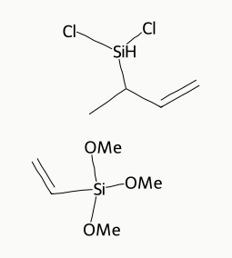 C=CC(C)[SiH](Cl)Cl.C=C[Si](OC)(OC)OC